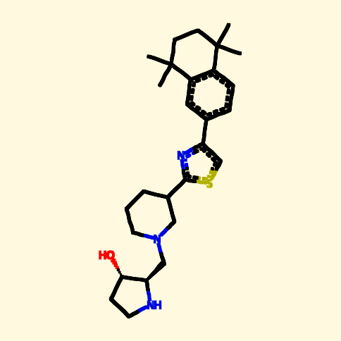 CC1(C)CCC(C)(C)c2cc(-c3csc(C4CCCN(C[C@H]5NCC[C@@H]5O)C4)n3)ccc21